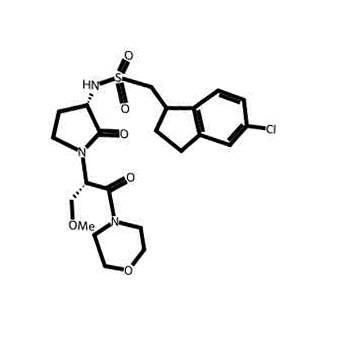 COC[C@@H](C(=O)N1CCOCC1)N1CC[C@H](NS(=O)(=O)CC2CCc3cc(Cl)ccc32)C1=O